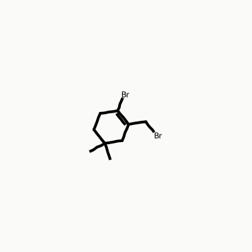 CC1(C)CCC(Br)=C(CBr)C1